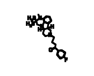 BC1(B)CN2c3c(cccc3N1C)[C@@H]1CN(CCCC(=O)c3ccc(F)cc3)CC[C@@H]12